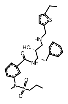 CCCS(=O)(=O)N(C)c1cccc(C(=O)N[C@@H](Cc2ccccc2)[C@H](O)CNCc2ccc(CC)s2)c1